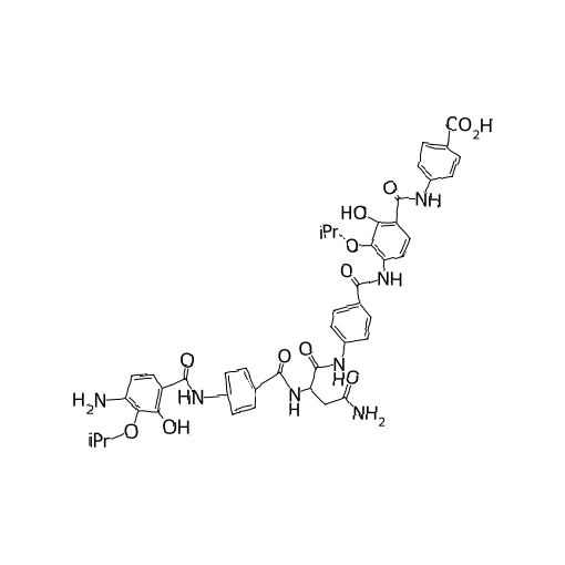 CC(C)Oc1c(N)ccc(C(=O)Nc2ccc(C(=O)NC(CC(N)=O)C(=O)Nc3ccc(C(=O)Nc4ccc(C(=O)Nc5ccc(C(=O)O)cc5)c(O)c4OC(C)C)cc3)cc2)c1O